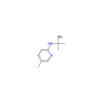 Cc1ccc(NC(C)(C)C(C)(C)C)nc1